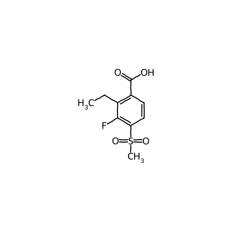 CCc1c(C(=O)O)ccc(S(C)(=O)=O)c1F